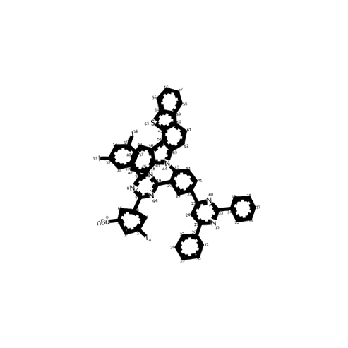 CCCCc1cc(I)cc(-c2nc(-c3cc(I)cc(I)c3)nc(-c3cc(-c4cc(-c5ccccc5)nc(-c5ccccc5)n4)ccc3-n3c4ccccc4c4c5sc6ccccc6c5ccc43)n2)c1